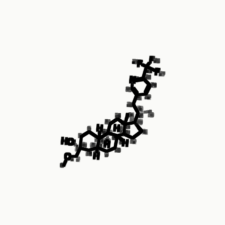 COC[C@@]1(O)CC[C@H]2[C@H](CC[C@@H]3[C@@H]2CC[C@]2(C)[C@@H]([C@@H](C)Cc4ccc(C(F)(F)F)nc4)CC[C@@H]32)C1